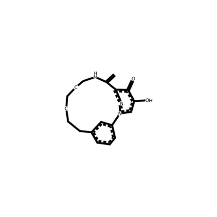 C=C1NCCCCCCc2cccc(c2)-n2cc(O)c(=O)c1n2